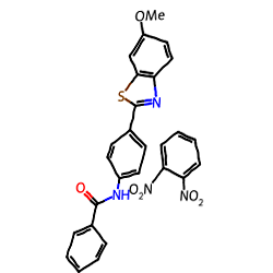 COc1ccc2nc(-c3ccc(NC(=O)c4ccccc4)cc3)sc2c1.O=[N+]([O-])c1ccccc1[N+](=O)[O-]